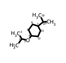 CC(C)OC1CCC(C(C)C)CC1